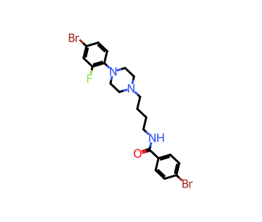 O=C(NCCCCN1CCN(c2ccc(Br)cc2F)CC1)c1ccc(Br)cc1